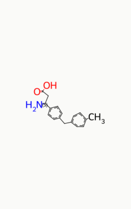 Cc1ccc(Cc2ccc([C@@H](N)CC(=O)O)cc2)cc1